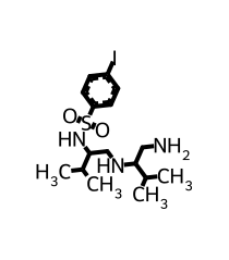 CC(C)C(CN)NCC(NS(=O)(=O)c1ccc(I)cc1)C(C)C